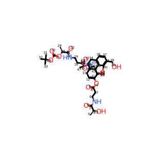 C[C@H](O)C(=O)NCCC(=O)OC1=CC[C@@]2(OC(=O)CCNC(=O)[C@H](C)OC(=O)OC(C)(C)C)[C@H]3Cc4ccc(CO)c5c4[C@@]2(CCN3C)[C@H]1O5